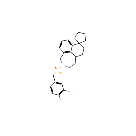 O=S(=O)(Cc1ccc(Cl)c(Cl)c1)N1CCC2CCC3(CCCC3)c3cccc(c32)C1